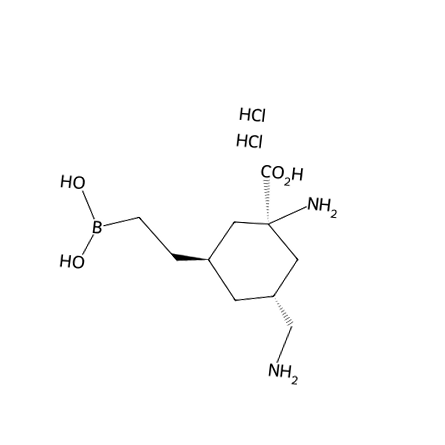 Cl.Cl.NC[C@@H]1C[C@@H](CCB(O)O)C[C@](N)(C(=O)O)C1